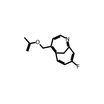 C=C(C)OCC1=C2C=CC(F)=CC(=NC=C1)C2